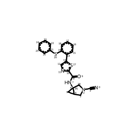 N#CN1CC2C[C@]2(NC(=O)c2ncc(-c3ccccc3Sc3ccccc3)s2)C1